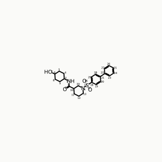 O=C(NC1CCC(O)CC1)C1CCCN(S(=O)(=O)c2ccc(-c3ccccc3)cc2)C1